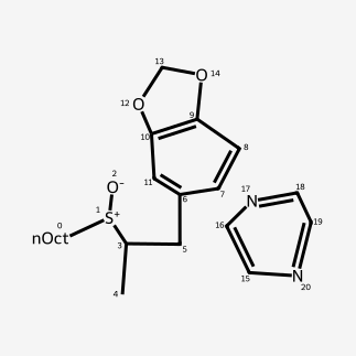 CCCCCCCC[S+]([O-])C(C)Cc1ccc2c(c1)OCO2.c1cnccn1